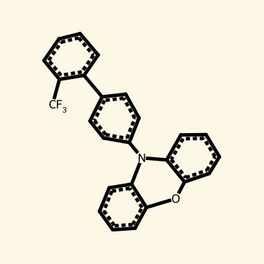 FC(F)(F)c1ccccc1-c1ccc(N2c3ccccc3Oc3ccccc32)cc1